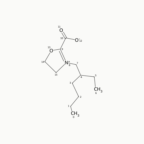 CCCCC(CC)C[N+]1=C(C(=O)[O-])OCC1